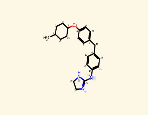 CC1CCC(Oc2ccc(Cc3ccc(NC4=NCCN4)cc3)cc2)CC1